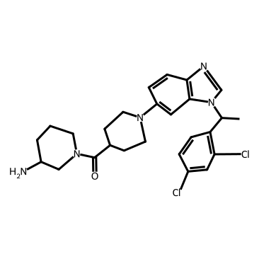 CC(c1ccc(Cl)cc1Cl)n1cnc2ccc(N3CCC(C(=O)N4CCCC(N)C4)CC3)cc21